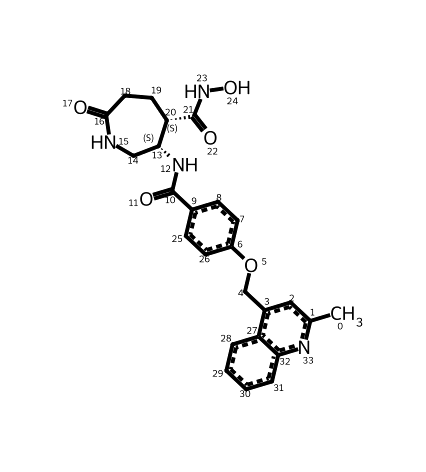 Cc1cc(COc2ccc(C(=O)N[C@@H]3CNC(=O)CC[C@@H]3C(=O)NO)cc2)c2ccccc2n1